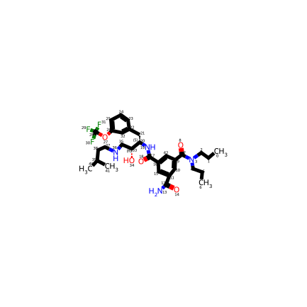 CCCN(CCC)C(=O)c1cc(C(N)=O)cc(C(=O)N[C@@H](Cc2cccc(OC(F)(F)F)c2)[C@H](O)CNCCC(C)C)c1